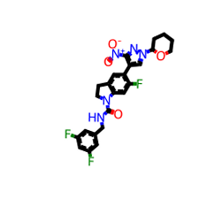 O=C(NCc1cc(F)cc(F)c1)N1CCc2cc(-c3cn(C4CCCCO4)nc3[N+](=O)[O-])c(F)cc21